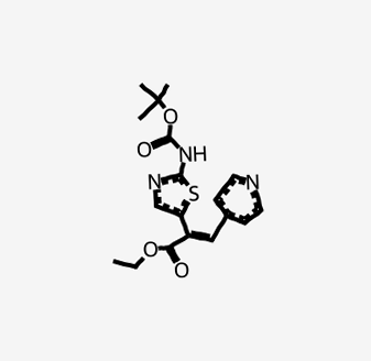 CCOC(=O)C(=Cc1ccncc1)c1cnc(NC(=O)OC(C)(C)C)s1